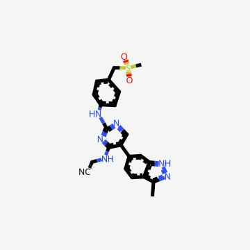 Cc1n[nH]c2cc(-c3cnc(Nc4ccc(CS(C)(=O)=O)cc4)nc3NCC#N)ccc12